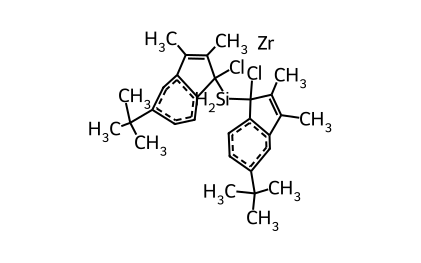 CC1=C(C)C(Cl)([SiH2]C2(Cl)C(C)=C(C)c3cc(C(C)(C)C)ccc32)c2ccc(C(C)(C)C)cc21.[Zr]